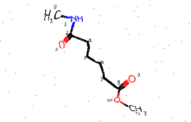 CNC(=O)CCCCC(=O)OC